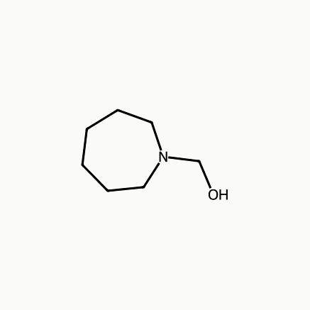 OCN1CCCCCC1